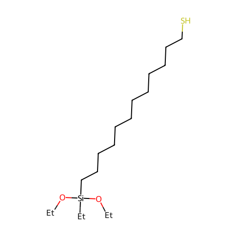 CCO[Si](CC)(CCCCCCCCCCCCS)OCC